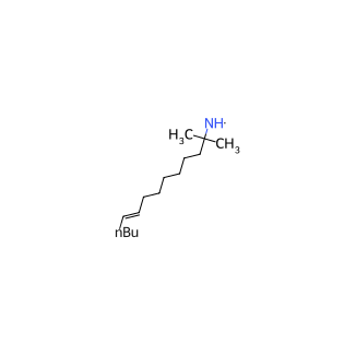 CCCCC=CCCCCCCC(C)(C)[NH]